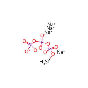 O=P([O-])([O-])OP(=O)([O-])OP(=O)([O-])O[SiH3].[Na+].[Na+].[Na+].[Na+]